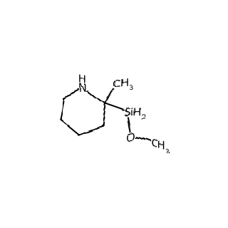 CO[SiH2]C1(C)CCCCN1